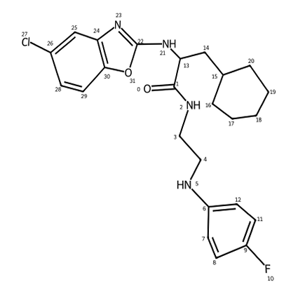 O=C(NCCNc1ccc(F)cc1)C(CC1CCCCC1)Nc1nc2cc(Cl)ccc2o1